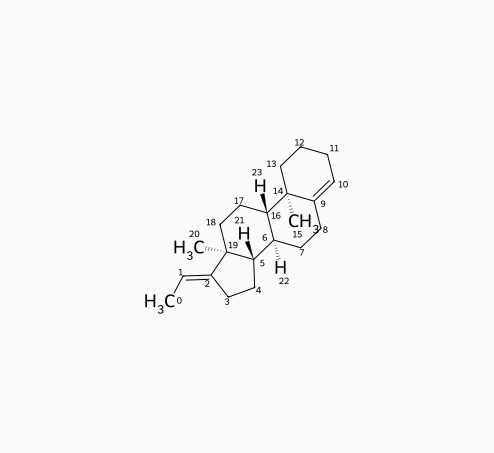 CC=C1CC[C@H]2[C@@H]3CCC4=CCCC[C@]4(C)[C@H]3CC[C@]12C